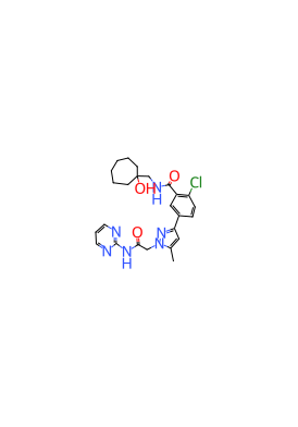 Cc1cc(-c2ccc(Cl)c(C(=O)NCC3(O)CCCCCC3)c2)nn1CC(=O)Nc1ncccn1